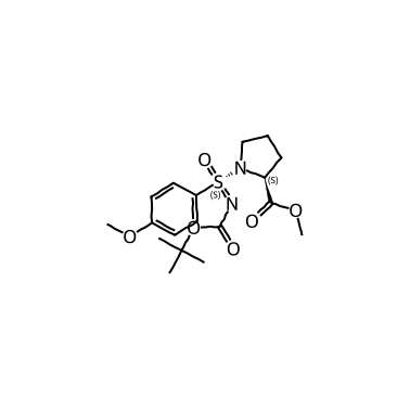 COC(=O)[C@@H]1CCCN1[S@](=O)(=NC(=O)OC(C)(C)C)c1ccc(OC)cc1